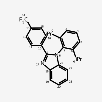 CC(C)c1cccc(C(C)C)c1-n1c(-c2ccc(C(F)(F)F)cc2)nc2ccccc21